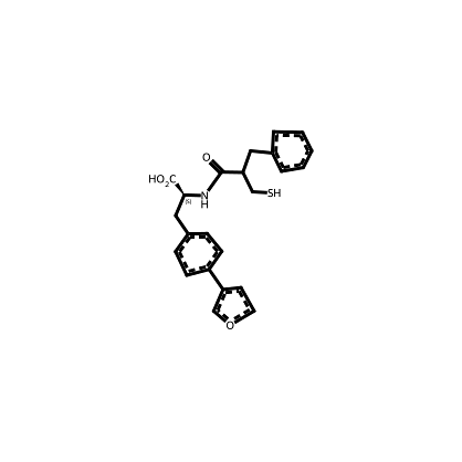 O=C(N[C@@H](Cc1ccc(-c2ccoc2)cc1)C(=O)O)C(CS)Cc1ccccc1